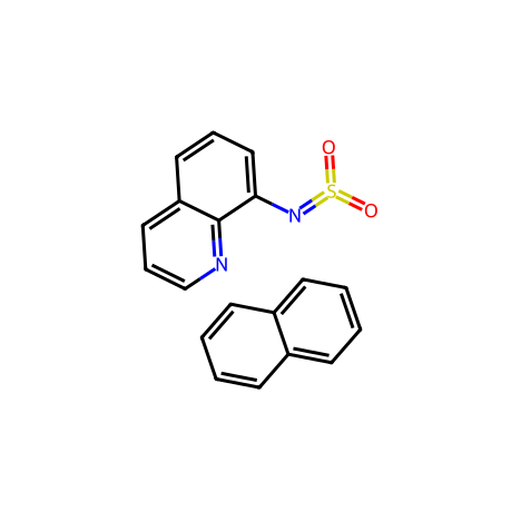 O=S(=O)=Nc1cccc2cccnc12.c1ccc2ccccc2c1